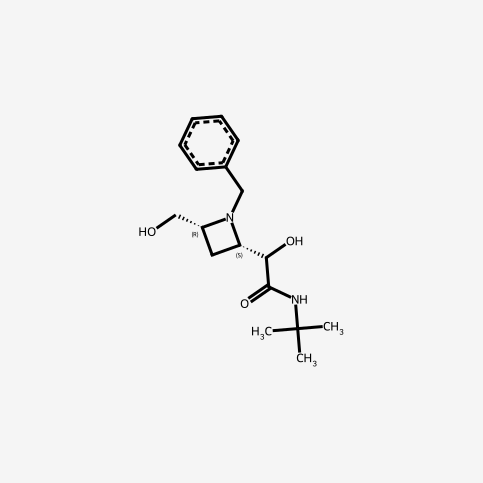 CC(C)(C)NC(=O)C(O)[C@@H]1C[C@H](CO)N1Cc1ccccc1